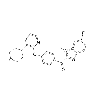 Cn1c(C(=O)c2ccc(Oc3ncccc3C3CCOCC3)cc2)nc2ccc(F)cc21